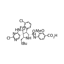 COc1cc(C(=O)O)ccc1NC(=O)[C@@H]1N[C@@H](CC(C)(C)C)[C@@]2(C(=O)Nc3nc(Cl)ncc32)[C@H]1c1cccc(Cl)c1F